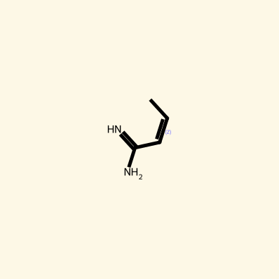 C/C=C\C(=N)N